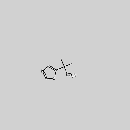 CC(C)(C(=O)O)c1cncs1